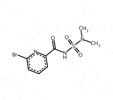 CN(C)S(=O)(=O)NC(=O)c1cccc(Br)n1